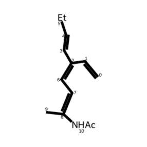 C=CC(/C=C/CC)=C\C=C(/C)NC(C)=O